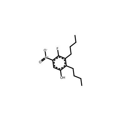 CCCCc1c(O)cc([N+](=O)[O-])c(F)c1CCCC